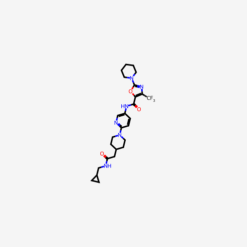 O=C(CC1CCN(c2ccc(NC(=O)c3oc(N4CCCCC4)nc3C(F)(F)F)cn2)CC1)NCC1CC1